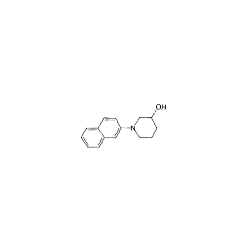 OC1CCCN(c2ccc3ccccc3c2)C1